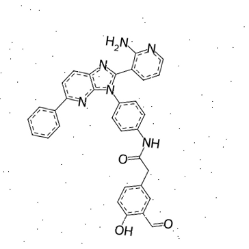 Nc1ncccc1-c1nc2ccc(-c3ccccc3)nc2n1-c1ccc(NC(=O)Cc2ccc(O)c(C=O)c2)cc1